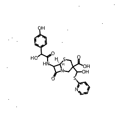 O=C(NC1C(=O)N2CC(C(=O)O)(C(O)Sc3ccccn3)CS[C@H]12)C(O)c1ccc(O)cc1